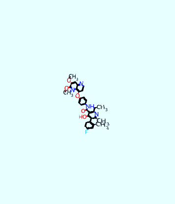 CCc1nc(C)c(-c2ccc(F)cc2C)c(O)c1C(=O)Nc1ccc(Oc2ccnc3cc(OC)c(OC)nc23)cc1